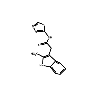 O=C(Cc1c(C(=O)O)[nH]c2ccccc12)Nc1nncs1